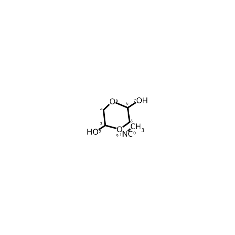 CC#N.OC1COC(O)CO1